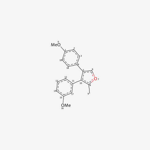 COc1ccc(-c2coc(C)c2-c2cccc(OC)c2)cc1